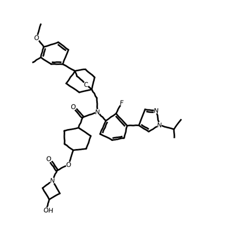 COc1ccc(C23CCC(CN(C(=O)C4CCC(OC(=O)N5CC(O)C5)CC4)c4cccc(-c5cnn(C(C)C)c5)c4F)(CC2)CC3)cc1C